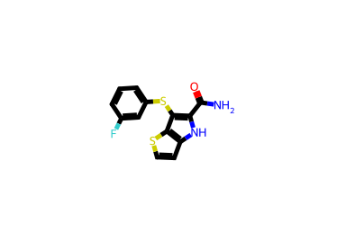 NC(=O)c1[nH]c2ccsc2c1Sc1cccc(F)c1